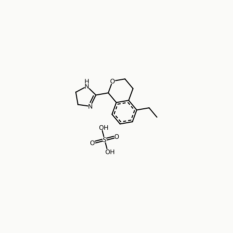 CCc1cccc2c1CCOC2C1=NCCN1.O=S(=O)(O)O